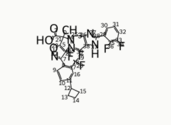 CC(C(=O)O)(c1cc(-c2ccc(C3CCC3)cc2C(F)(F)F)no1)N1Cc2nc(-c3cccc(F)c3F)[nH]c2C=N1